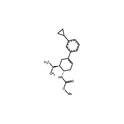 CN(C)[C@H]1CC(c2cccc(C3CC3)c2)=CC[C@@H]1NC(=O)OC(C)(C)C